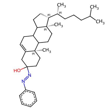 CC(C)CCC[C@@H](C)[C@H]1CCC2C3CC=C4CC(O)(N=Nc5ccccc5)CC[C@]4(C)C3CC[C@@]21C